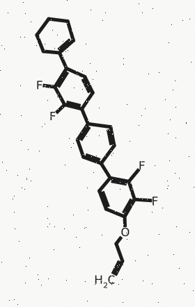 C=CCOc1ccc(-c2ccc(-c3ccc(C4=CCCCC4)c(F)c3F)cc2)c(F)c1F